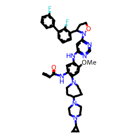 C=CC(=O)Nc1cc(Nc2cc(N3OCCC3c3cccc(-c4cccc(F)c4)c3F)ncn2)c(OC)cc1N1CCC(N2CCN(C3CC3)CC2)CC1